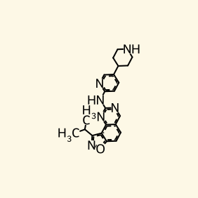 CC(C)c1noc2ccc3cnc(Nc4ccc(C5CCNCC5)cn4)nc3c12